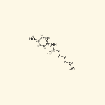 CC(C)OCCCCC(=O)Nc1ccc(O)cn1